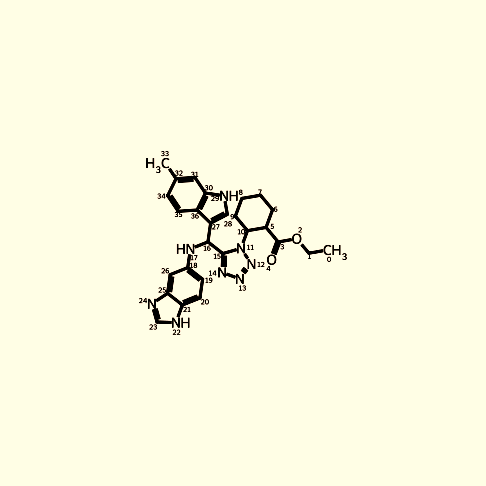 CCOC(=O)C1CCCCC1n1nnnc1C(Nc1ccc2[nH]cnc2c1)c1c[nH]c2cc(C)ccc12